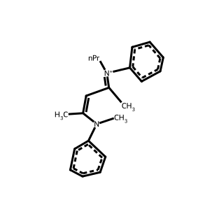 CCC/[N+](=C(C)\C=C(\C)N(C)c1ccccc1)c1ccccc1